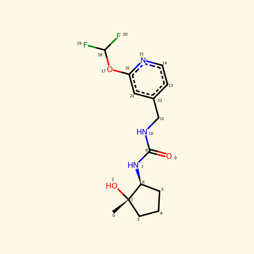 C[C@]1(O)CCC[C@@H]1NC(=O)NCc1ccnc(OC(F)F)c1